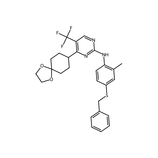 Cc1cc(SCc2ccccc2)ccc1Nc1ncc(C(F)(F)F)c(C2CCC3(CC2)OCCO3)n1